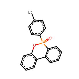 CCc1ccc(P2(=O)Oc3ccccc3-c3ccccc32)cc1